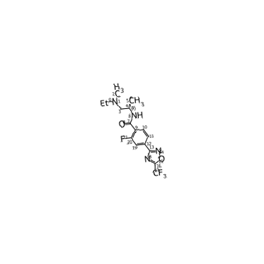 CCN(C)C[C@@H](C)NC(=O)c1ccc(-c2noc(C(F)(F)F)n2)cc1F